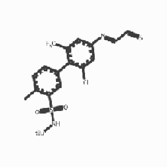 Cc1ccc(-c2c(Cl)cc(N=CC=S)cc2C(F)(F)F)cc1S(=O)(=O)NC(C)(C)C